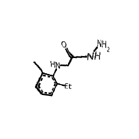 CCc1cccc(C)c1NCC(=O)NN